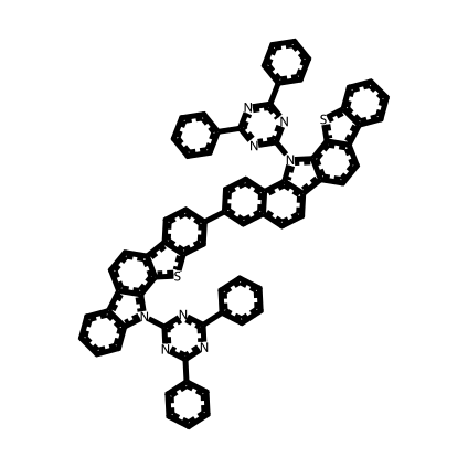 c1ccc(-c2nc(-c3ccccc3)nc(-n3c4ccccc4c4ccc5c6ccc(-c7ccc8c(ccc9c%10ccc%11c%12ccccc%12sc%11c%10n(-c%10nc(-c%11ccccc%11)nc(-c%11ccccc%11)n%10)c89)c7)cc6sc5c43)n2)cc1